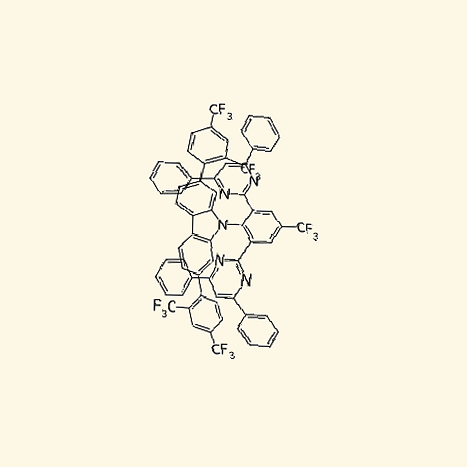 FC(F)(F)c1cc(-c2nc(-c3ccccc3)cc(-c3ccccc3)n2)c(-n2c3cc(-c4ccc(C(F)(F)F)cc4C(F)(F)F)ccc3c3ccc(-c4ccc(C(F)(F)F)cc4C(F)(F)F)cc32)c(-c2nc(-c3ccccc3)cc(-c3ccccc3)n2)c1